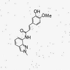 COc1ccc(/C=C/C(=O)Nc2cccc3cn(C)nc23)cc1O